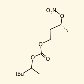 CC(OC(=O)OCC[C@@H](C)O[N+](=O)[O-])C(C)(C)C